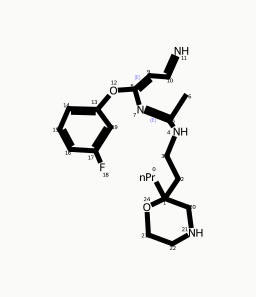 CCCC1(CCN/C(C)=N/C(=C\C=N)Oc2cccc(F)c2)CNCCO1